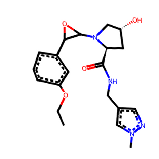 CCOc1cccc(C2OC2N2C[C@H](O)C[C@H]2C(=O)NCc2cnn(C)c2)c1